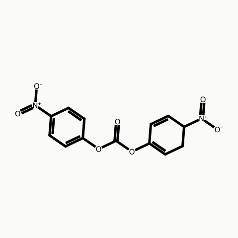 O=C(OC1=CCC([N+](=O)[O-])C=C1)Oc1ccc([N+](=O)[O-])cc1